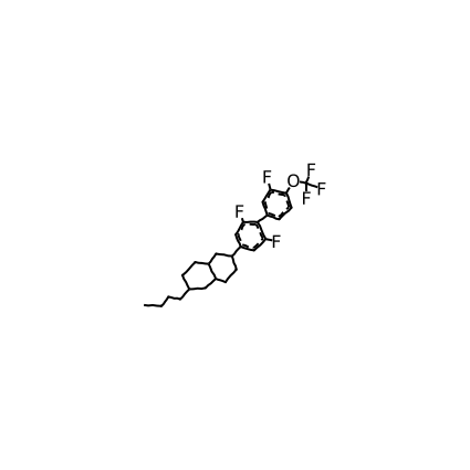 CCCCC1CCC2CC(c3cc(F)c(-c4ccc(OC(F)(F)F)c(F)c4)c(F)c3)CCC2C1